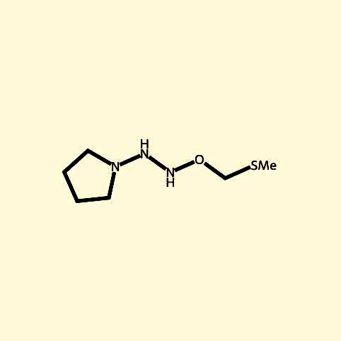 CSCONNN1CCCC1